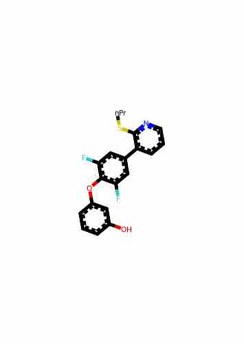 CCCSc1ncccc1-c1cc(F)c(Oc2cccc(O)c2)c(F)c1